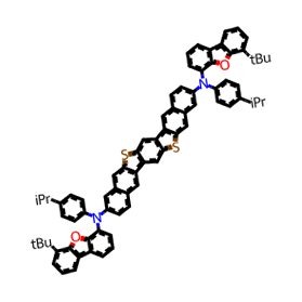 CC(C)c1ccc(N(c2ccc3cc4c(cc3c2)sc2cc3c(cc24)sc2cc4cc(N(c5ccc(C(C)C)cc5)c5cccc6c5oc5c(C(C)(C)C)cccc56)ccc4cc23)c2cccc3c2oc2c(C(C)(C)C)cccc23)cc1